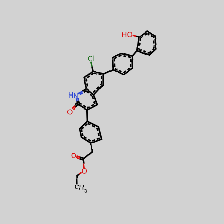 CCOC(=O)Cc1ccc(-c2cc3cc(-c4ccc(-c5ccccc5O)cc4)c(Cl)cc3[nH]c2=O)cc1